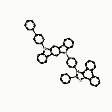 c1ccc(-c2ccc(-n3c4ccccc4c4cc5c(cc43)c3ccccc3n5-c3ccc(-n4c(-c5ccccc5)nc5c6ccccc6c6ccccc6c54)cc3)cc2)cc1